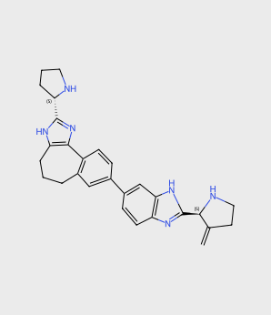 C=C1CCN[C@@H]1c1nc2ccc(-c3ccc4c(c3)CCCc3[nH]c([C@@H]5CCCN5)nc3-4)cc2[nH]1